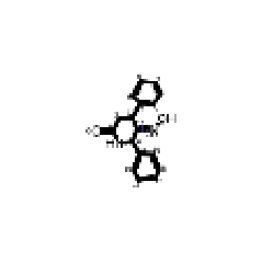 O=C1CC(c2ccccc2)/C(=N\O)C(c2ccccc2)N1